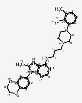 Cc1cccc(N2CCN(CCCNc3ncnc4c3nc(C)n4-c3ccc4c(c3)OCCO4)CC2)c1C